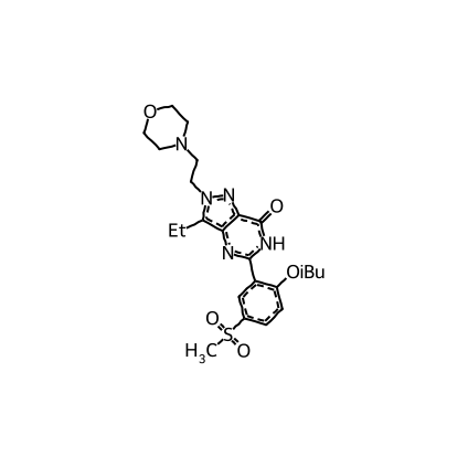 CCc1c2nc(-c3cc(S(C)(=O)=O)ccc3OCC(C)C)[nH]c(=O)c2nn1CCN1CCOCC1